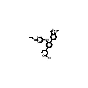 CCOc1ncc(Nc2cc(C(CC)CC(=O)O)ccc2-c2ccc3c(cnn3C)c2)cn1